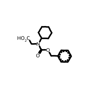 O=C(O)CN(C(=O)OCc1ccccc1)C1CCCCC1